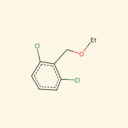 [CH2]COCc1c(Cl)cccc1Cl